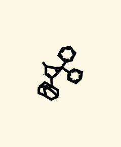 CC1[C]=C(C23CC4CC(CC(C4)C2)C3)C2=C1C2(c1ccccc1)c1ccccc1